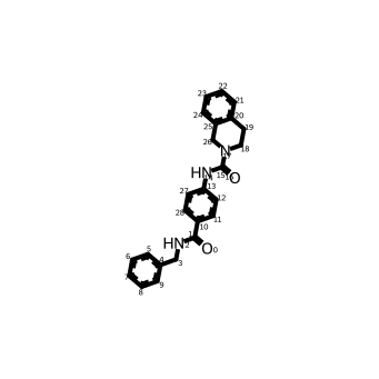 O=C(NCc1ccccc1)c1ccc(NC(=O)N2CCc3ccccc3C2)cc1